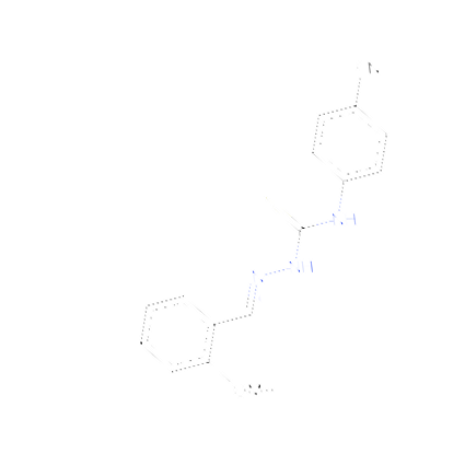 COc1ccccc1/C=N/NC(=S)Nc1ccc(C#N)cc1